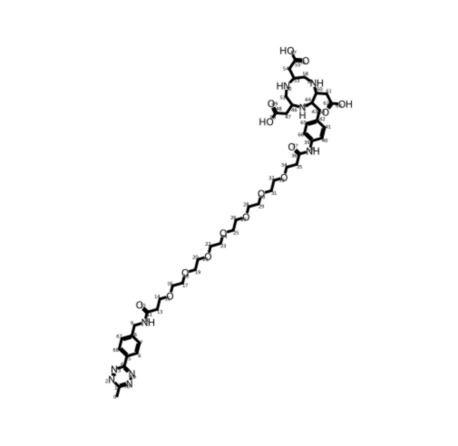 Cc1nnc(-c2ccc(CNC(=O)CCOCCOCCOCCOCCOCCOCCOCCC(=O)Nc3ccc(CC4NC(CC(=O)O)CNC(CC(=O)O)CNC4CC(=O)O)cc3)cc2)nn1